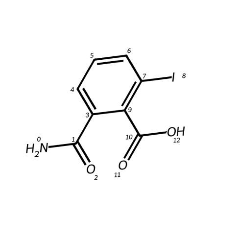 NC(=O)c1cccc(I)c1C(=O)O